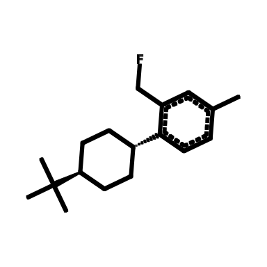 Cc1ccc([C@H]2CC[C@H](C(C)(C)C)CC2)c(CF)c1